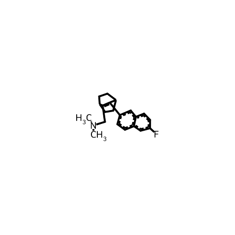 CN(C)CC1=C(c2ccc3cc(F)ccc3c2)C2CCC1CC2